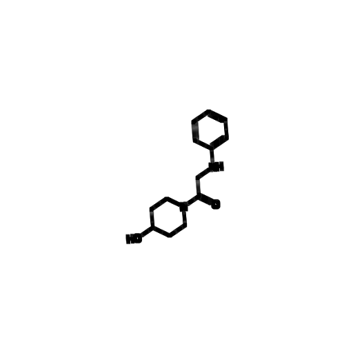 O=C(CNc1ccccc1)N1CCC(O)CC1